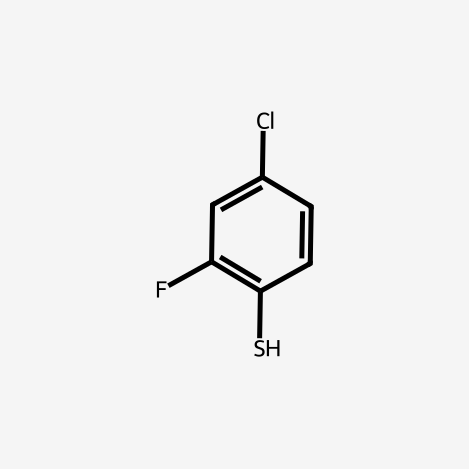 Fc1cc(Cl)ccc1S